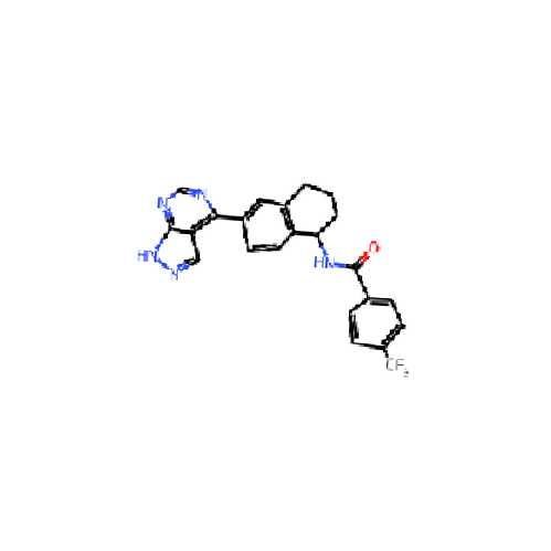 O=C(NC1CCCc2cc(-c3ncnc4[nH]ncc34)ccc21)c1ccc(C(F)(F)F)cc1